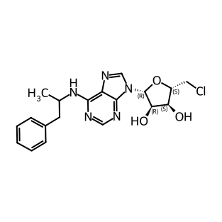 CC(Cc1ccccc1)Nc1ncnc2c1ncn2[C@@H]1O[C@H](CCl)[C@@H](O)[C@H]1O